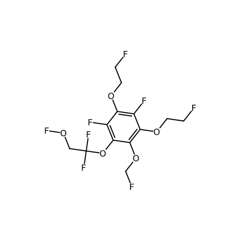 FCCOc1c(F)c(OCCF)c(OCF)c(OC(F)(F)COF)c1F